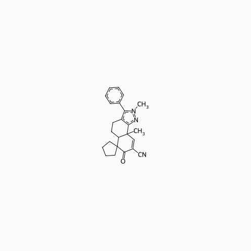 Cn1nc2c(c1-c1ccccc1)CCC1C3(CCCC3)C(=O)C(C#N)=CC21C